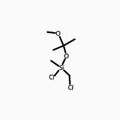 COC(C)(C)O[Si](C)(Cl)CCl